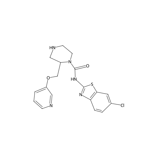 O=C(Nc1nc2ccc(Cl)cc2s1)N1CCNCC1COc1cccnc1